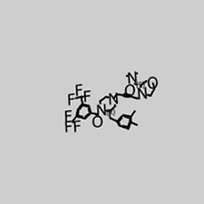 Cc1ccc(C[C@@H]2CN(CC#CCN3CCOC[C@H]3C(=O)N(C)C)CCN2C(=O)c2cc(C(F)(F)F)cc(C(F)(F)F)c2)cc1C